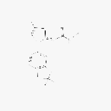 CCC(C)NC(=O)/N=c1\sc(C)cn1-c1ccc2c(c1)OC(F)(F)O2